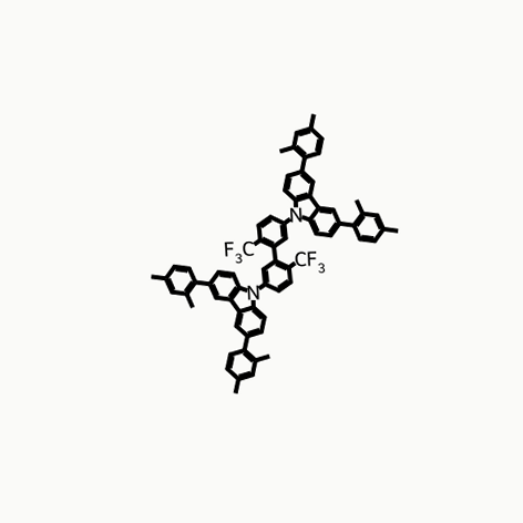 Cc1ccc(-c2ccc3c(c2)c2cc(-c4ccc(C)cc4C)ccc2n3-c2ccc(C(F)(F)F)c(-c3cc(-n4c5ccc(-c6ccc(C)cc6C)cc5c5cc(-c6ccc(C)cc6C)ccc54)ccc3C(F)(F)F)c2)c(C)c1